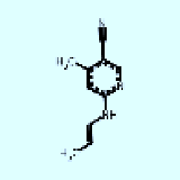 C/C=C/Nc1cc(C)c(C#N)cn1